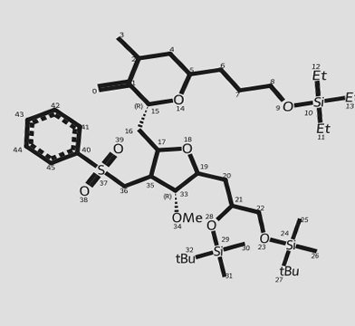 C=C1C(C)CC(CCCO[Si](CC)(CC)CC)O[C@@H]1CC1OC(CC(CO[Si](C)(C)C(C)(C)C)O[Si](C)(C)C(C)(C)C)[C@H](OC)C1CS(=O)(=O)c1ccccc1